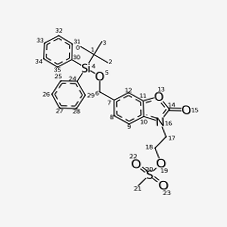 CC(C)(C)[Si](OCc1ccc2c(c1)oc(=O)n2CCOS(C)(=O)=O)(c1ccccc1)c1ccccc1